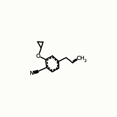 C=CCc1ccc(C#N)c(OC2CC2)c1